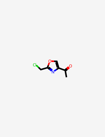 CC(=O)c1coc(CCl)n1